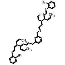 C\C=C/C(=C/C=N/c1ccccc1C(C)C)C(/C=C\C)=C/C=N/Cc1cccc(C/N=C/C=C(\C=C/C)C(/C=C\C)=C/C=N/c2ccccc2C(C)C)n1